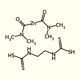 CN(C)[C](=O)[Zn][C](=O)N(C)C.S=C(S)NCCNC(=S)S